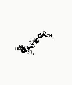 CCC(=O)N1CC[C@@H](n2ccc(Nc3ncc(C(=O)Nc4c(C)ccc5[nH]ncc45)s3)n2)C1